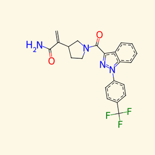 C=C(C(N)=O)C1CCN(C(=O)c2nn(-c3ccc(C(F)(F)F)cc3)c3ccccc23)C1